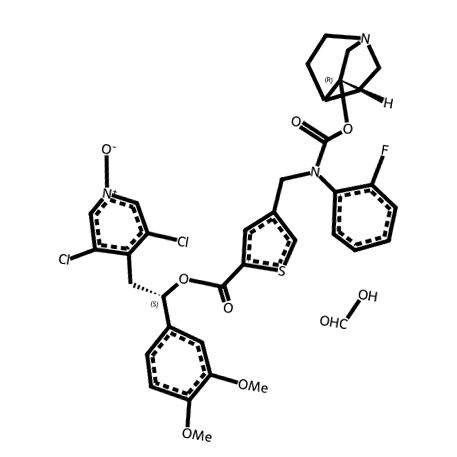 COc1ccc([C@H](Cc2c(Cl)c[n+]([O-])cc2Cl)OC(=O)c2cc(CN(C(=O)O[C@H]3CN4CCC3CC4)c3ccccc3F)cs2)cc1OC.O=CO